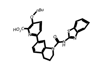 CCCCOc1ccc(-c2ccc3c(c2)N(C(=O)Nc2nc4ccccc4s2)CCC3)nc1C(=O)O